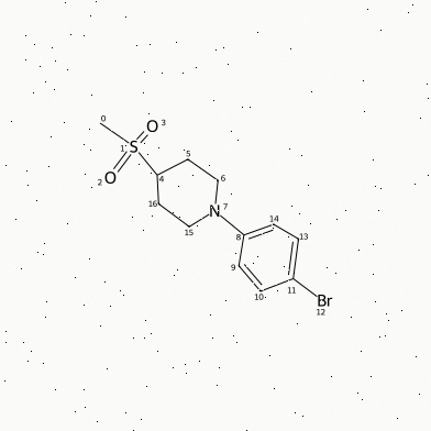 CS(=O)(=O)C1CCN(c2ccc(Br)cc2)CC1